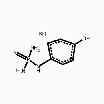 NP(N)(=S)Nc1ccc(O)cc1.[KH]